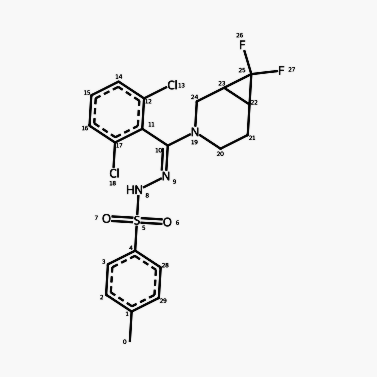 Cc1ccc(S(=O)(=O)N/N=C(\c2c(Cl)cccc2Cl)N2CCC3C(C2)C3(F)F)cc1